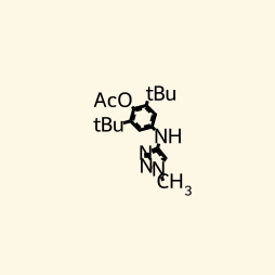 CC(=O)Oc1c(C(C)(C)C)cc(Nc2cn(C)nn2)cc1C(C)(C)C